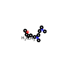 CC1(C)c2cc(-c3ccc4c(c3)c3cc(-c5ccc6c7ccccc7n(-c7ccccc7)c6c5)ccc3n4-c3ccccc3)ccc2-c2c1ccc1c2oc2ccccc21